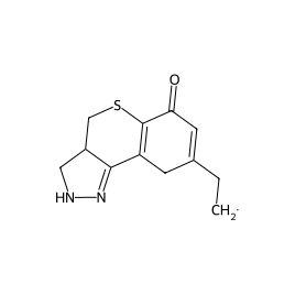 [CH2]CC1=CC(=O)C2=C(C1)C1=NNCC1CS2